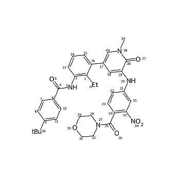 CCc1c(NC(=O)c2ccc(C(C)(C)C)cc2)cccc1-c1cc(Nc2ccc(C(=O)N3CCOCC3)c([N+](=O)[O-])c2)c(=O)n(C)c1